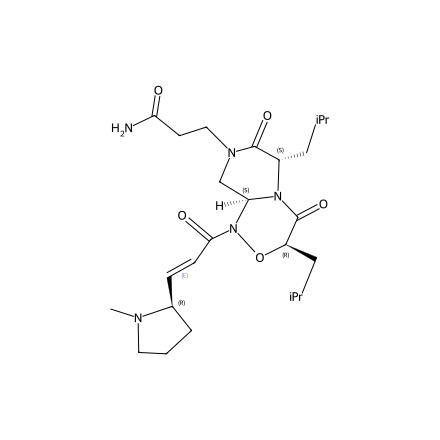 CC(C)C[C@H]1ON(C(=O)/C=C/[C@H]2CCCN2C)[C@H]2CN(CCC(N)=O)C(=O)[C@H](CC(C)C)N2C1=O